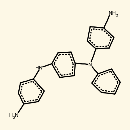 Nc1ccc(Nc2ccc(N(c3ccccc3)c3ccc(N)cc3)cc2)cc1